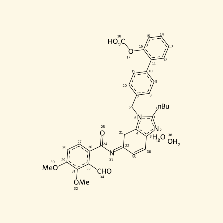 CCCCc1nc2c(n1Cc1ccc(-c3ccccc3OC(=O)O)cc1)CC(=NC(=O)c1ccc(OC)c(OC)c1C=O)C=C2.O.O